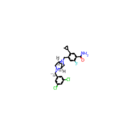 C[C@@H](c1cc(Cl)cc(Cl)c1)N1C[C@@H]2C[C@H]1CN2Cc1cc(F)c(C(N)=O)cc1C1CC1